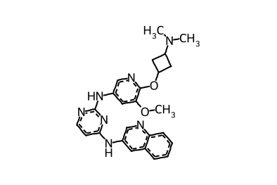 COc1cc(Nc2nccc(Nc3cnc4ccccc4c3)n2)cnc1OC1CC(N(C)C)C1